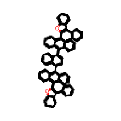 c1ccc(-c2c(-c3c4ccccc4c(-c4ccc(-c5c6ccccc6c(-c6oc7ccccc7c6-c6ccccc6)c6ccccc56)c5ccccc45)c4ccccc34)oc3ccccc23)cc1